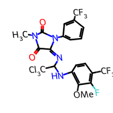 COc1c(NC(N=C2C(=O)N(C)C(=O)N2c2cccc(C(F)(F)F)c2)C(Cl)(Cl)Cl)ccc(C(F)(F)F)c1F